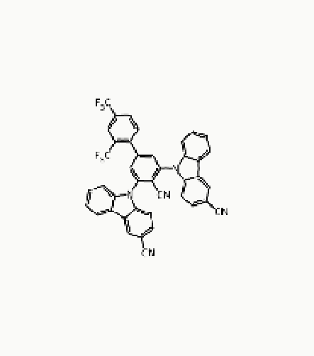 N#Cc1ccc2c(c1)c1ccccc1n2-c1cc(-c2ccc(C(F)(F)F)cc2C(F)(F)F)cc(-n2c3ccccc3c3cc(C#N)ccc32)c1C#N